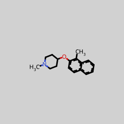 Cc1c(OC2CCN(C)CC2)ccc2ccccc12